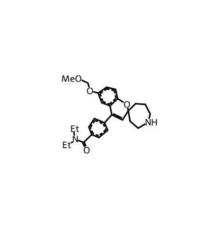 CCN(CC)C(=O)c1ccc(C2=CC3(CCCNCC3)Oc3ccc(OCOC)cc32)cc1